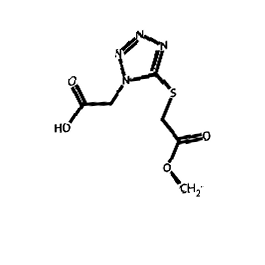 [CH2]OC(=O)CSc1nnnn1CC(=O)O